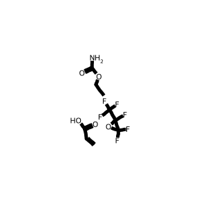 C=CC(=O)O.CCOC(N)=O.FC(F)(F)C1(F)OC1(F)F